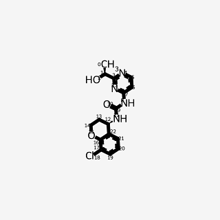 C[C@H](O)c1nccc(NC(=O)N[C@H]2CCOc3c(Cl)cccc32)n1